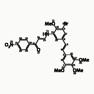 COc1cc(C=Cc2cc(Br)c(OC)c(NC=CC(=O)c3ccc([N+](=O)[O-])cc3)c2)cc(OC)c1OC